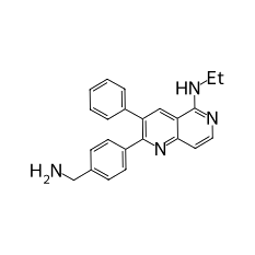 CCNc1nccc2nc(-c3ccc(CN)cc3)c(-c3ccccc3)cc12